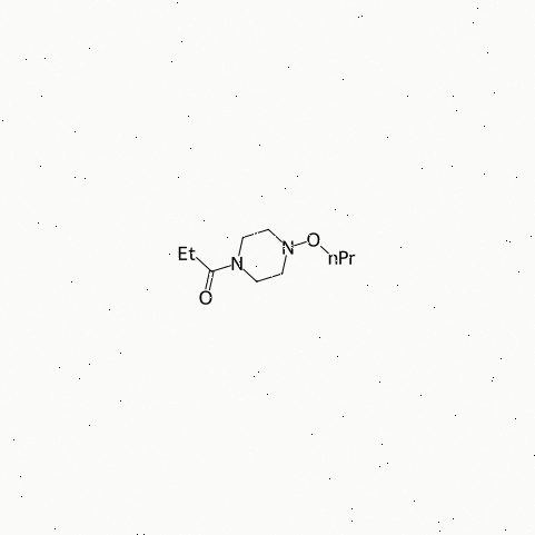 CCCON1CCN(C(=O)CC)CC1